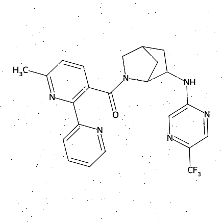 Cc1ccc(C(=O)N2CC3CC(Nc4cnc(C(F)(F)F)cn4)C2C3)c(-c2ccccn2)n1